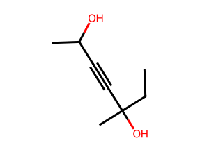 CCC(C)(O)C#CC(C)O